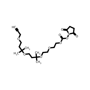 C#CCOCCC(C)(C)OCCC(C)(C)OCCOCCOC(=O)ON1C(=O)CCC1=O